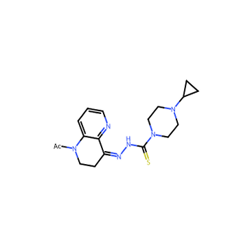 CC(=O)N1CC/C(=N/NC(=S)N2CCN(C3CC3)CC2)c2ncccc21